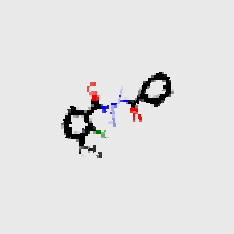 Cc1cccc(C(=O)NNC(=O)c2ccccc2)c1Cl